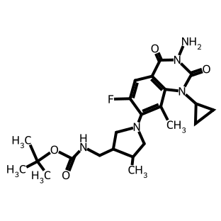 Cc1c(N2CC(C)C(CNC(=O)OC(C)(C)C)C2)c(F)cc2c(=O)n(N)c(=O)n(C3CC3)c12